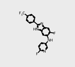 Fc1ccc(Nc2cc3[nH]c(-c4ccc(C(F)(F)F)cc4)nc3cc2F)cn1